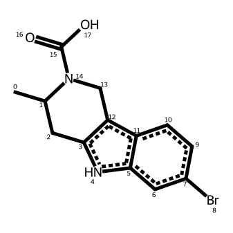 CC1Cc2[nH]c3cc(Br)ccc3c2CN1C(=O)O